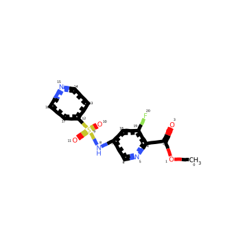 COC(=O)c1ncc(NS(=O)(=O)c2ccncc2)cc1F